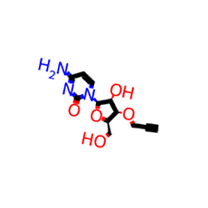 C#CCO[C@H]1[C@@H](O)[C@H](n2ccc(N)nc2=O)O[C@@H]1CO